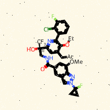 CCOc1c(CC(C)=O)cc([C@@](O)(CNC(=O)c2cc(OC)c3nn(C4(F)CC4)cc3c2)C(F)(F)F)nc1-c1cccc(F)c1Cl